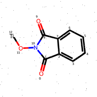 O=C1c2ccccc2C(=O)N1[O][Ti]